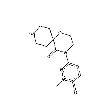 Cn1nc(N2CCOC3(CCNCC3)C2=O)ccc1=O